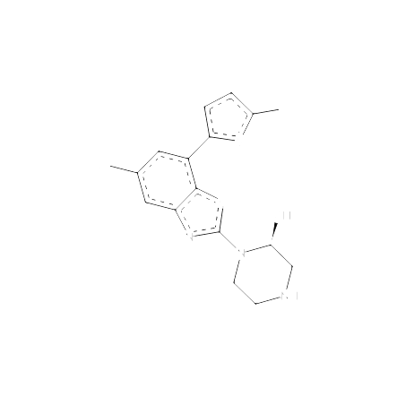 C[C@H]1CNCCN1c1nc2cc(Cl)cc(-c3ccc(F)s3)c2o1